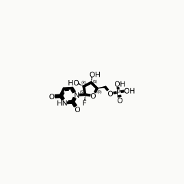 O=c1ccn([C@]2(F)O[C@H](COP(=O)(O)O)[C@@H](O)[C@H]2O)c(=O)[nH]1